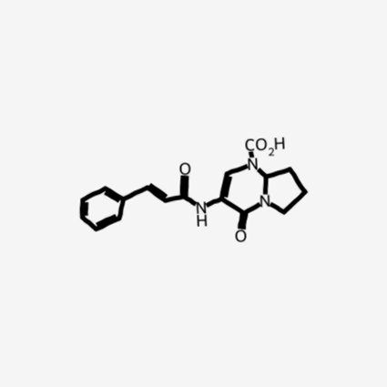 O=C(C=Cc1ccccc1)NC1=CN(C(=O)O)C2CCCN2C1=O